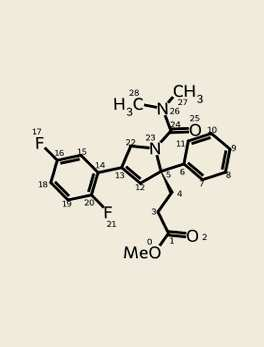 COC(=O)CC[C@@]1(c2ccccc2)C=C(c2cc(F)ccc2F)CN1C(=O)N(C)C